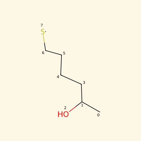 CC(O)CCCC[S]